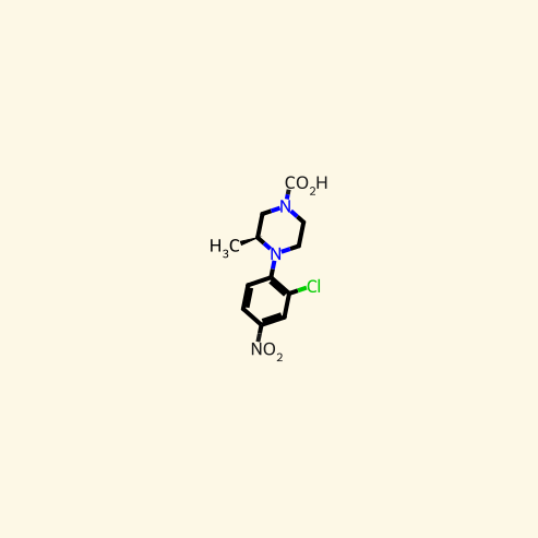 C[C@H]1CN(C(=O)O)CCN1c1ccc([N+](=O)[O-])cc1Cl